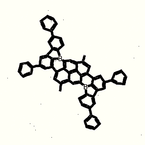 Cc1cc2c3c(cc4c(C)cc5c6c(cc1c3c46)B1c3ccc(-c4ccccc4)cc3-c3cc(-c4ccccc4)cc-5c31)B1c3ccc(-c4ccccc4)cc3-c3cc(-c4ccccc4)cc-2c31